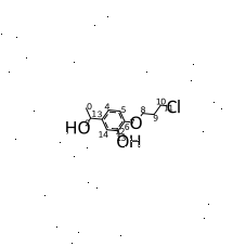 CC(O)c1ccc(OCCCCl)c(O)c1